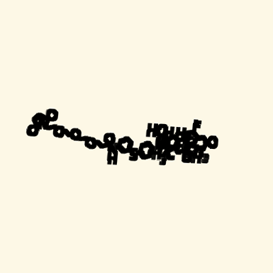 C[C@]12C=CC(=O)C=C1[C@@H](F)C[C@H]1[C@@H]3C[C@H]4O[C@@H](c5ccc(Sc6cccc(NC(=O)CCOCCOCCOCCN7C(=O)C=CC7=O)c6)cc5)O[C@@]4(C(=O)CO)[C@@]3(C)C[C@H](O)[C@@]12F